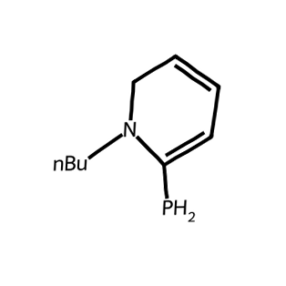 CCCCN1CC=CC=C1P